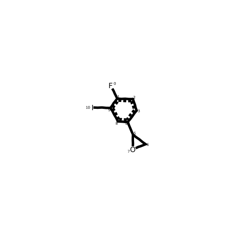 Fc1ccc(C2CO2)cc1I